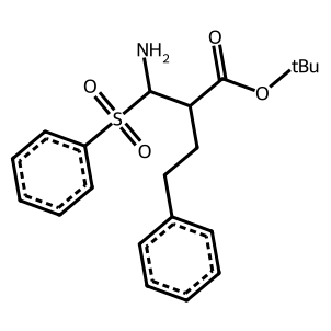 CC(C)(C)OC(=O)C(CCc1ccccc1)C(N)S(=O)(=O)c1ccccc1